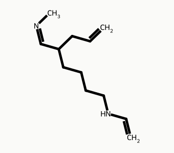 C=CCC(/C=N\C)CCCCNC=C